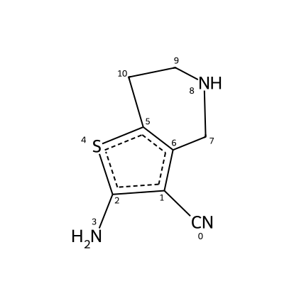 N#Cc1c(N)sc2c1CNCC2